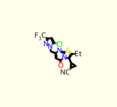 CCc1sc2nc(Cn3nc(C(F)(F)F)cc3Cl)cc(=O)n2c1C1CC1C#N